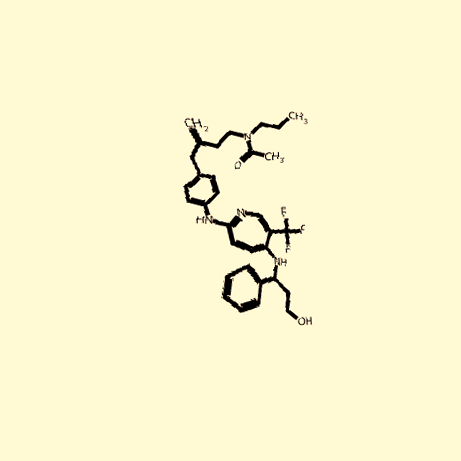 C=C(CCN(CCC)C(C)=O)Cc1ccc(NC2=NC=C(C(F)(F)F)C(NC(CCO)c3ccccc3)=C=C2)cc1